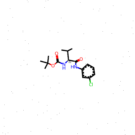 CC(C)[C@H](NC(=O)OC(C)(C)C)C(=O)Nc1cccc(Cl)c1